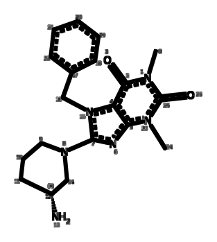 Cn1c(=O)c2c(nc(N3CCC[C@@H](N)C3)n2Cc2ccccc2)n(C)c1=O